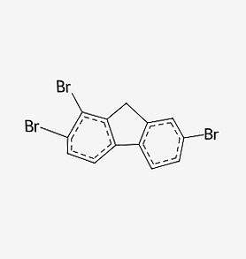 Brc1ccc2c(c1)Cc1c-2ccc(Br)c1Br